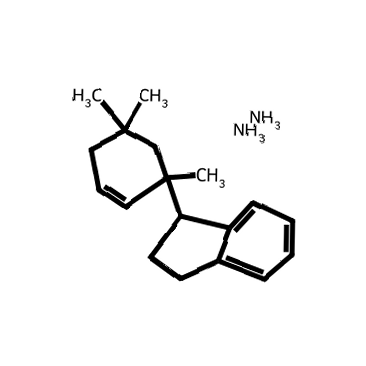 CC1(C)CC=CC(C)(C2CCc3ccccc32)C1.N.N